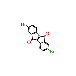 O=c1c2c3ccc(Br)cc3c(=O)c=2c2ccc(Br)cc12